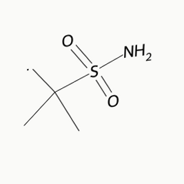 [CH2]C(C)(C)S(N)(=O)=O